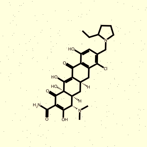 CCC1CCCN1Cc1cc(O)c2c(c1Cl)C[C@H]1C[C@H]3[C@H](N(C)C)C(O)=C(C(N)=O)C(=O)[C@@]3(O)C(O)=C1C2=O